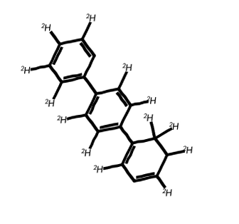 [2H]C1=CC([2H])=C(c2c([2H])c([2H])c(-c3cc([2H])c([2H])c([2H])c3[2H])c([2H])c2[2H])C([2H])([2H])C1[2H]